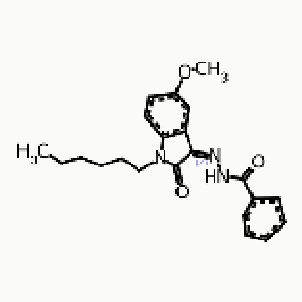 CCCCCCN1C(=O)/C(=N\NC(=O)c2ccccc2)c2cc(OC)ccc21